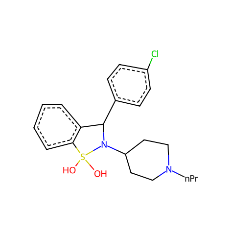 C[CH]CN1CCC(N2C(c3ccc(Cl)cc3)c3ccccc3S2(O)O)CC1